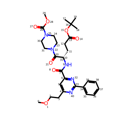 COCCc1cc(C(=O)N[C@@H](CCC(=O)OC(C)(C)C)C(=O)N2CCN(C(=O)OC)CC2)nc(-c2ccccc2)n1